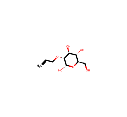 C=CCO[C@@H]1[C@@H](O)[C@H](O)[C@@H](CO)O[C@@H]1O